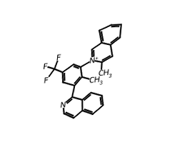 Cc1c(-c2nccc3ccccc23)cc(C(F)(F)F)cc1-[n+]1cc2ccccc2cc1C